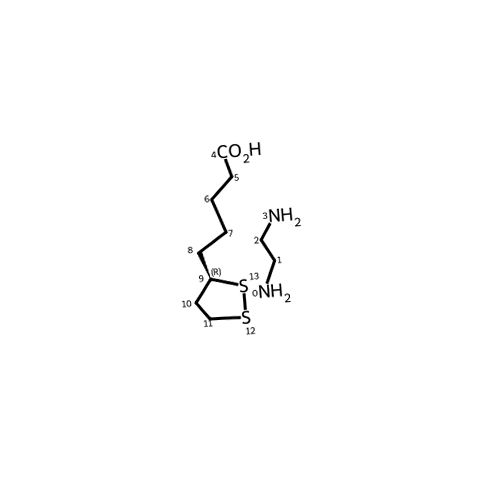 NCCN.O=C(O)CCCC[C@@H]1CCSS1